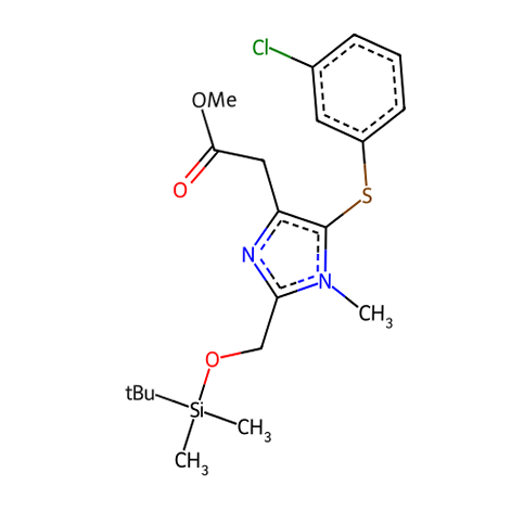 COC(=O)Cc1nc(CO[Si](C)(C)C(C)(C)C)n(C)c1Sc1cccc(Cl)c1